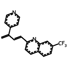 C=C(/C=C/c1ccc2ccc(C(F)(F)F)cc2n1)c1ccncc1